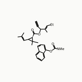 C#CC(OC(=O)[C@@H]1C(C=C(C)C)C1(C)C)/C(C)=C/CC.CNC(=O)Oc1cccc2ccccc12